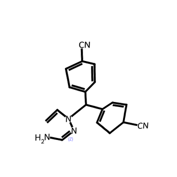 C=CN(/N=C\N)C(C1=CCC(C#N)C=C1)c1ccc(C#N)cc1